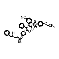 CCN(CCNCc1ccccc1)C[C@@H]1CCN(C(=O)C(c2ccccc2)n2c(=O)n(S(=O)(=O)c3ccc(OCC(F)(F)F)cc3)c3ccc(C#N)cc32)C1